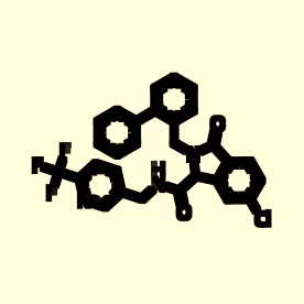 O=C(NCc1ccc(C(F)(F)F)nc1)C1c2cc(Cl)ccc2C(=O)N1Cc1ccccc1-c1ccccc1